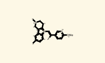 COc1ccc(C(F)=Cn2c3c(c4cc(C)ccc42)CN(C)CC3)cn1